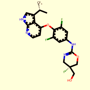 C[C@H](c1c[nH]c2nccc(Oc3c(F)cc(NC4=NC[C@](F)(CO)CO4)cc3F)c12)C(F)(F)F